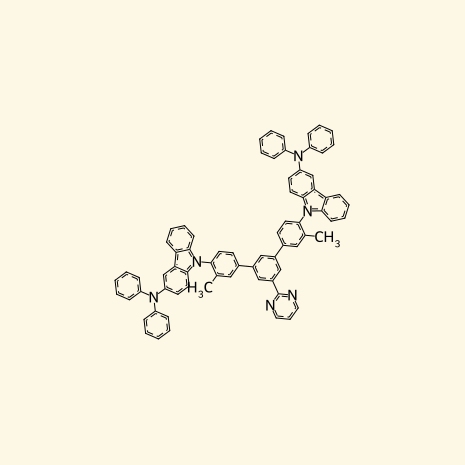 Cc1cc(-c2cc(-c3ccc(-n4c5ccccc5c5cc(N(c6ccccc6)c6ccccc6)ccc54)c(C)c3)cc(-c3ncccn3)c2)ccc1-n1c2ccccc2c2cc(N(c3ccccc3)c3ccccc3)ccc21